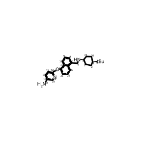 CC(C)(C)[C@H]1CC[C@@H](NCc2cccc3c(Oc4ccc(N)cn4)cccc23)CC1